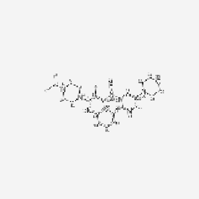 Cc1c(N2CCN(C(C)C)CC2)nc2ccccc2c1N(F)c1cncc(N2CCOCC2)c1